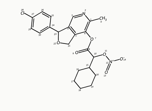 Cc1ncc2c(c1OC(=O)C(O[N+](=O)[O-])C1CCCCC1)COC2c1ccc(Cl)cc1